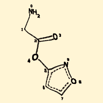 NCC(=O)Oc1ccon1